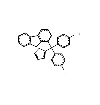 Cc1ccc(C(C2=CC=CC2)(c2ccc(C)cc2)c2cccc3c2Cc2ccccc2-3)cc1